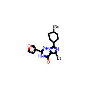 CCc1nc(C2CCC(C(C)(C)C)CC2)n2nc(-c3ccoc3)[nH]c(=O)c12